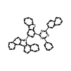 c1ccc(-c2nc(-c3ccc4ccccc4c3)nc(-c3cc(-n4c5ccc6ccccc6c5c5ccc6ccccc6c54)cc4c3sc3ccccc34)n2)cc1